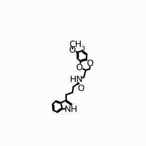 COc1ccc2c(c1)OC(CNC(=O)CCCc1c[nH]c3ccccc13)CO2